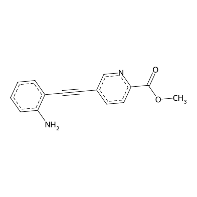 COC(=O)c1ccc(C#Cc2ccccc2N)cn1